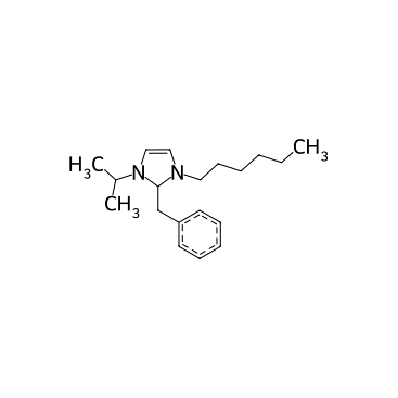 CCCCCCN1C=CN(C(C)C)C1Cc1ccccc1